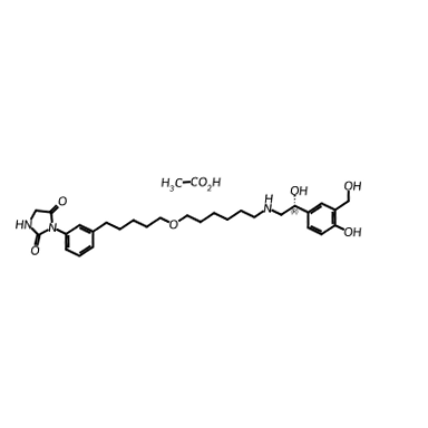 CC(=O)O.O=C1CNC(=O)N1c1cccc(CCCCCOCCCCCCNC[C@H](O)c2ccc(O)c(CO)c2)c1